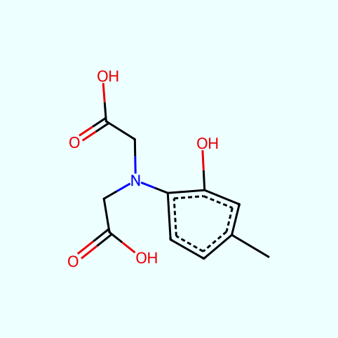 Cc1ccc(N(CC(=O)O)CC(=O)O)c(O)c1